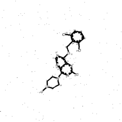 [O-][S+]1CCN(c2nc(Cl)nc3c(OCc4c(Cl)cccc4Cl)ncnc23)CC1